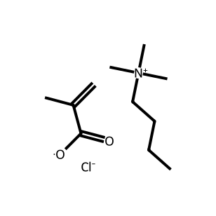 C=C(C)C([O])=O.CCCC[N+](C)(C)C.[Cl-]